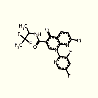 CC(NC(=O)c1cn(-c2ncc(F)cc2F)c2nc(Cl)ccc2c1=O)C(F)(F)C(F)(F)F